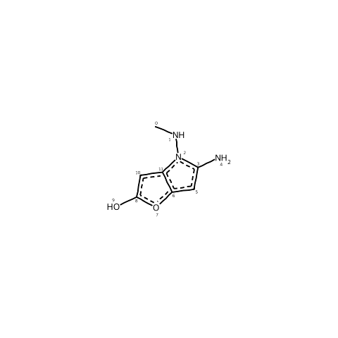 CNn1c(N)cc2oc(O)cc21